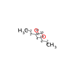 CCCCCCCCC.O=CC=O